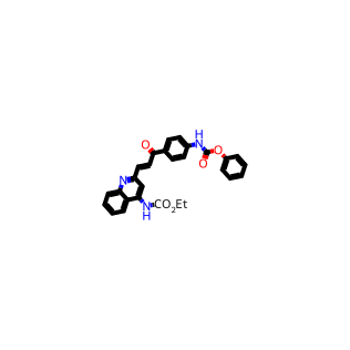 CCOC(=O)Nc1cc(/C=C/C(=O)c2ccc(NC(=O)Oc3ccccc3)cc2)nc2ccccc12